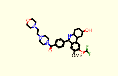 COc1cc2c(cc1OC(F)F)C1CC(O)CCC1N=C2c1ccc(C(=O)N2CCN(CCN3CCOCC3)CC2)cc1